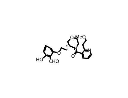 COCCc1ncccc1C(=O)N1CCOC[C@H]1CCOc1cccc(O)c1C=O